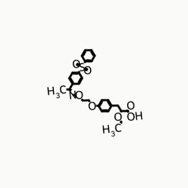 CCOC(Cc1ccc(OCCON=C(C)c2ccc(S(=O)(=O)c3ccccc3)cc2)cc1)C(=O)O